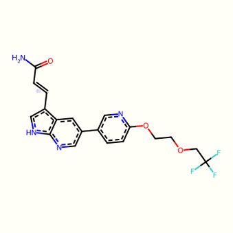 NC(=O)/C=C/c1c[nH]c2ncc(-c3ccc(OCCOCC(F)(F)F)nc3)cc12